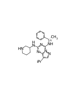 CC(C)c1cnn2c(N[C@@H](C)c3ccccc3)nc(NC3CCCNC3)nc12